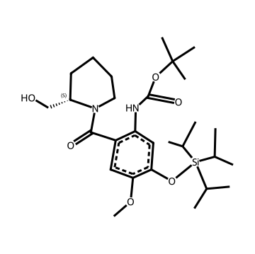 COc1cc(C(=O)N2CCCC[C@H]2CO)c(NC(=O)OC(C)(C)C)cc1O[Si](C(C)C)(C(C)C)C(C)C